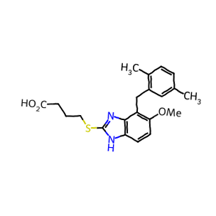 COc1ccc2[nH]c(SCCCC(=O)O)nc2c1Cc1cc(C)ccc1C